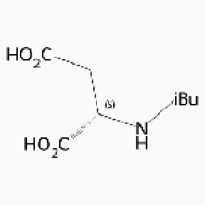 CCC(C)N[C@@H](CC(=O)O)C(=O)O